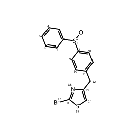 [O-][S+](c1ccccc1)c1ccc(Cc2csc(Br)n2)cc1